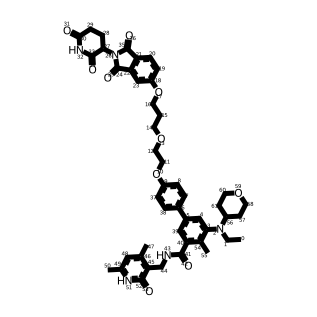 CCN(c1cc(-c2ccc(OCCOCCCOc3ccc4c(c3)C(=O)N(C3CCC(=O)NC3=O)C4=O)cc2)cc(C(=O)NCc2c(C)cc(C)[nH]c2=O)c1C)C1CCOCC1